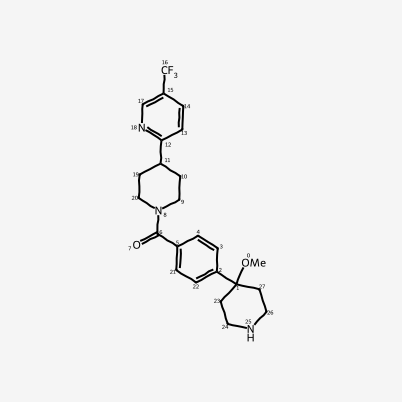 COC1(c2ccc(C(=O)N3CCC(c4ccc(C(F)(F)F)cn4)CC3)cc2)CCNCC1